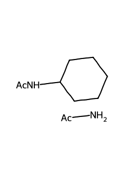 CC(=O)NC1CCCCC1.CC(N)=O